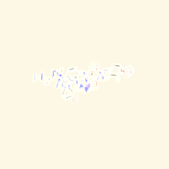 CCOC(C(=O)NCc1ccc(C(=N)N)cc1NCc1ccccc1F)N1C=C2C=CC(=O)C(C)=C2C1